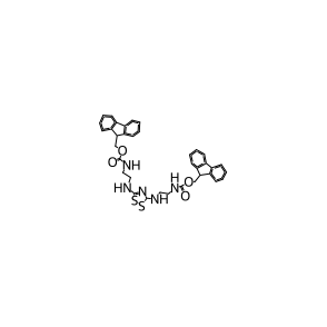 O=C(NCCNC1=NC(NCCNC(=O)OCC2c3ccccc3-c3ccccc32)SS1)OCC1c2ccccc2-c2ccccc21